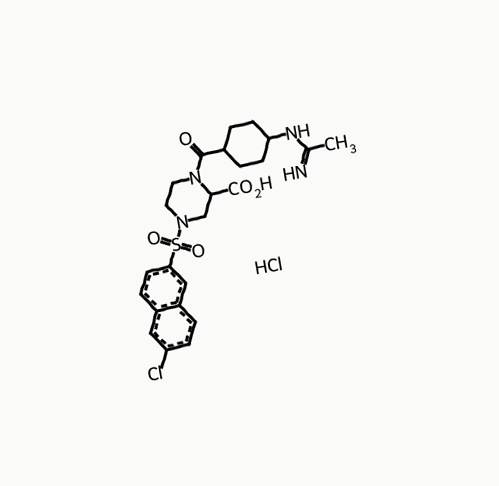 CC(=N)NC1CCC(C(=O)N2CCN(S(=O)(=O)c3ccc4cc(Cl)ccc4c3)CC2C(=O)O)CC1.Cl